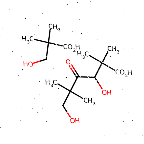 CC(C)(CO)C(=O)C(O)C(C)(C)C(=O)O.CC(C)(CO)C(=O)O